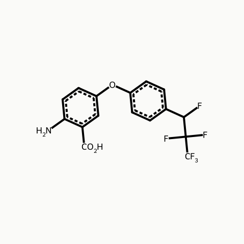 Nc1ccc(Oc2ccc(C(F)C(F)(F)C(F)(F)F)cc2)cc1C(=O)O